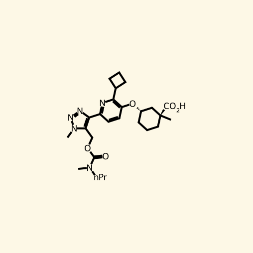 CCCN(C)C(=O)OCc1c(-c2ccc(O[C@H]3CCC[C@](C)(C(=O)O)C3)c(C3CCC3)n2)nnn1C